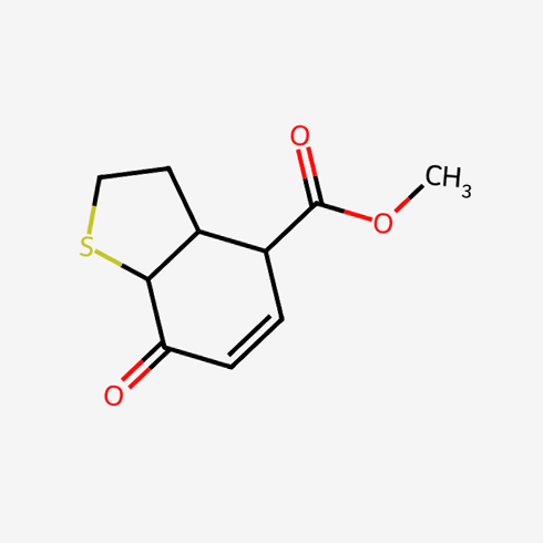 COC(=O)C1C=CC(=O)C2SCCC12